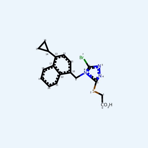 O=C(O)CSc1nnc(Br)n1Cc1ccc(C2CC2)c2ccccc12